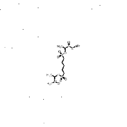 CCCOS(=O)C(C)OS(=O)(=O)CCCCCS(=O)(=O)OC(C)[S+](C)[O-]